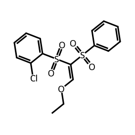 CCOC=C(S(=O)(=O)c1ccccc1)S(=O)(=O)c1ccccc1Cl